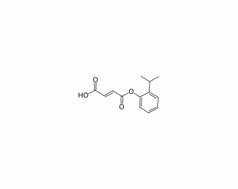 CC(C)c1ccccc1OC(=O)C=CC(=O)O